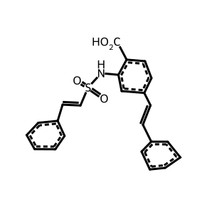 O=C(O)c1ccc(C=Cc2ccccc2)cc1NS(=O)(=O)/C=C/c1ccccc1